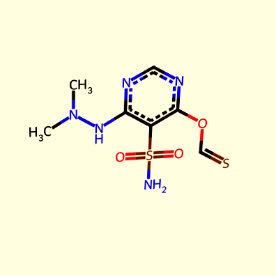 CN(C)Nc1ncnc(OC=S)c1S(N)(=O)=O